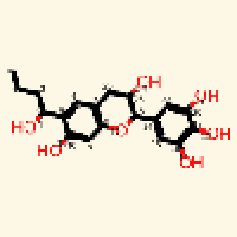 CCCC(O)c1cc2c(cc1O)OC(c1cc(O)c(O)c(O)c1)C(O)C2